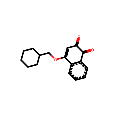 O=C1C=C(OCC2CCCCC2)c2ccccc2C1=O